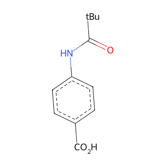 CC(C)(C)C(=O)Nc1ccc(C(=O)O)cc1